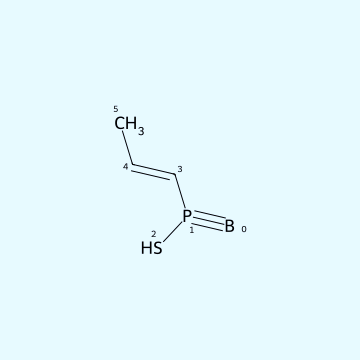 B#P(S)C=CC